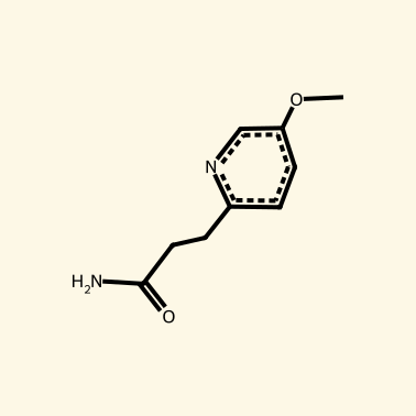 COc1ccc(CCC(N)=O)nc1